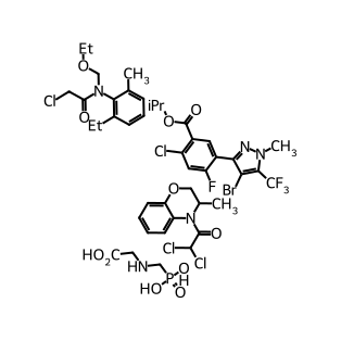 CC(C)OC(=O)c1cc(-c2nn(C)c(C(F)(F)F)c2Br)c(F)cc1Cl.CC1COc2ccccc2N1C(=O)C(Cl)Cl.CCOCN(C(=O)CCl)c1c(C)cccc1CC.O=C(O)CNCP(=O)(O)O